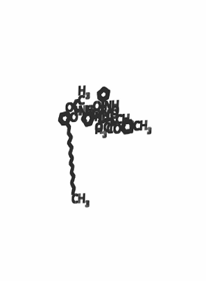 CCCCCCCCCCCCCCCc1cccc(OC(CC)C(=O)Nc2cccc(NC(=O)C(Cl)(C(=O)C(C)(C)Oc3ccc(C)cc3)N3C(=O)NC(OCC)(c4ccccc4)C3=O)c2)c1